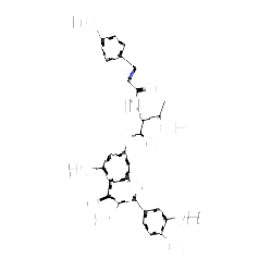 CC(O)C(NC(=O)/C=C/c1ccc(O)cc1)C(=O)Oc1cc(O)c2c(=O)c(O)c(-c3ccc(O)c(O)c3)oc2c1